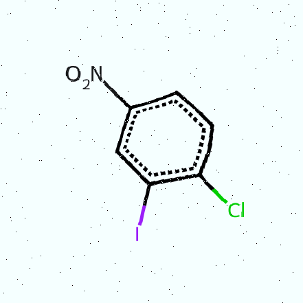 O=[N+]([O-])c1ccc(Cl)c(I)c1